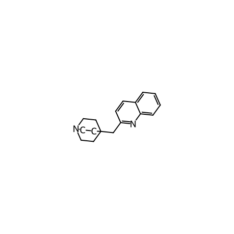 c1ccc2nc(CC34CCN(CC3)CC4)ccc2c1